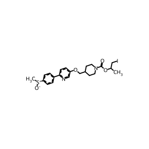 CC(CI)OC(=O)N1CCC(COc2ccc(-c3ccc([S+](C)[O-])cc3)nc2)CC1